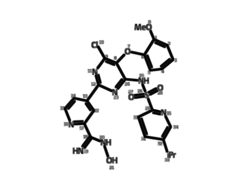 COc1ccccc1Oc1c(Cl)nc(-c2ccnc(C(=N)NO)c2)nc1NS(=O)(=O)c1ccc(C(C)C)cn1